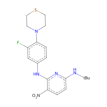 CC(C)(C)Nc1ccc([N+](=O)[O-])c(Nc2ccc(N3CCSCC3)c(F)c2)n1